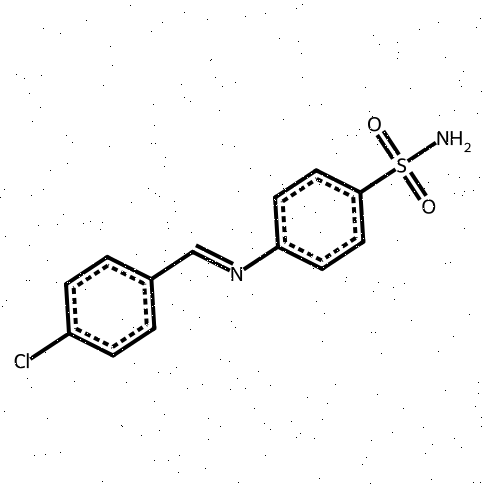 NS(=O)(=O)c1ccc(/N=C/c2ccc(Cl)cc2)cc1